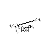 CCCCCCCCCCCC(=O)OC(C)C.CNCC(=O)O